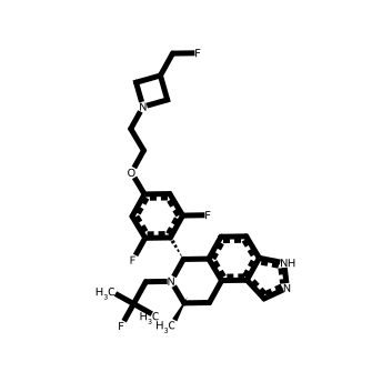 C[C@@H]1Cc2c(ccc3[nH]ncc23)[C@@H](c2c(F)cc(OCCN3CC(CF)C3)cc2F)N1CC(C)(C)F